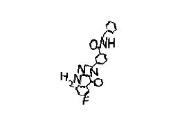 Nc1ncc(-c2cccc(C(=O)NCc3ccccc3)c2)nc1C(=O)c1cccc(F)c1